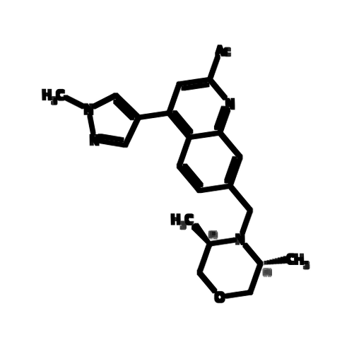 CC(=O)c1cc(-c2cnn(C)c2)c2ccc(CN3[C@H](C)COC[C@H]3C)cc2n1